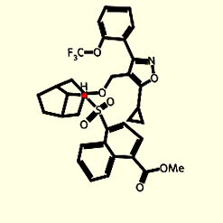 COC(=O)c1ccc(S(=O)(=O)NC2C3CCC2CC(OCc2c(-c4ccccc4OC(F)(F)F)noc2C2CC2)C3)c2ccccc12